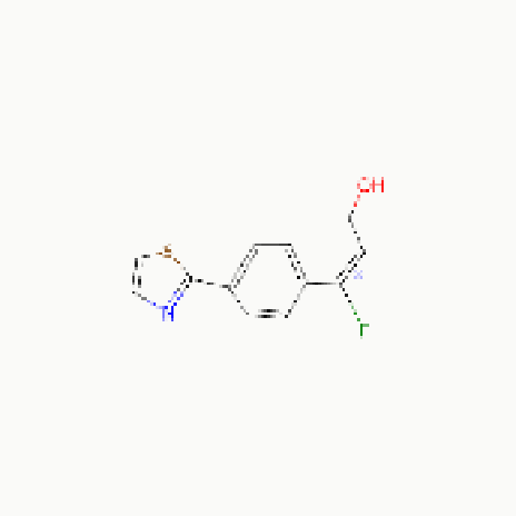 OC/C=C(/F)c1ccc(-c2nccs2)cc1